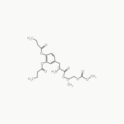 CCCC(=O)Oc1ccc(C[C@H](N)C(=O)O[C@@H](C)COC(=O)OC)cc1OC(=O)CCC